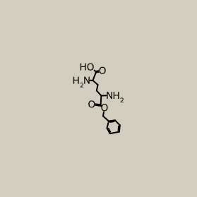 NC(CCC(N)C(=O)OCc1ccccc1)C(=O)O